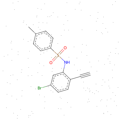 C#Cc1ccc(Br)cc1NS(=O)(=O)c1ccc(C)cc1